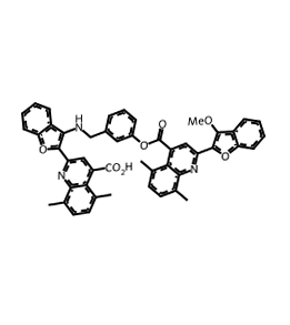 COc1c(-c2cc(C(=O)Oc3cccc(CNc4c(-c5cc(C(=O)O)c6c(C)ccc(C)c6n5)oc5ccccc45)c3)c3c(C)ccc(C)c3n2)oc2ccccc12